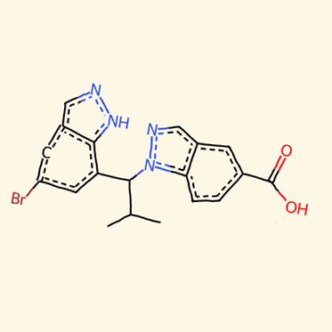 CC(C)C(c1cc(Br)cc2cn[nH]c12)n1ncc2cc(C(=O)O)ccc21